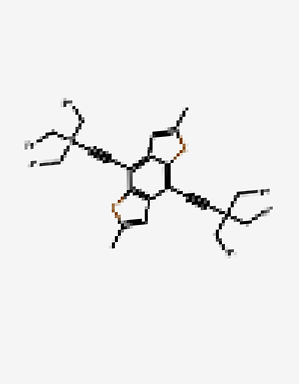 Cc1cc2c(C#C[Si](CC(C)C)(CC(C)C)CC(C)C)c3sc(C)cc3c(C#CC(CC(C)C)(CC(C)C)CC(C)C)c2s1